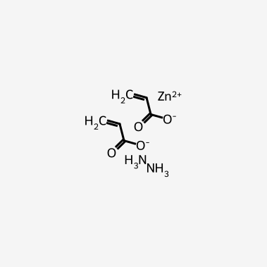 C=CC(=O)[O-].C=CC(=O)[O-].N.N.[Zn+2]